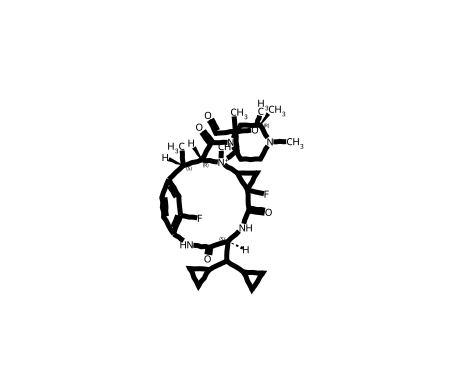 COC(C)(C=O)C[N+]1(C)C2CC2(F)C(=O)N[C@@H](C(C2CC2)C2CC2)C(=O)Nc2ccc(cc2F)[C@H](C)[C@@H]1C(=O)N1CCN(C)[C@H](C)C1